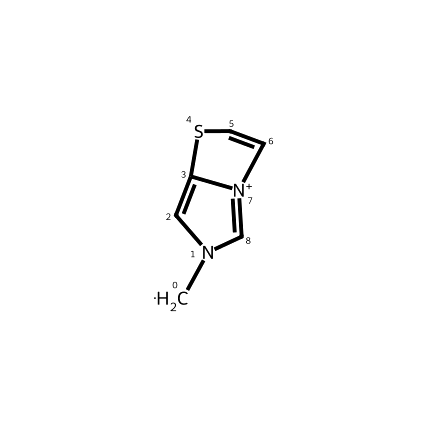 [CH2]n1cc2scc[n+]2c1